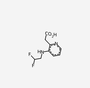 O=C(O)Cc1ncccc1NCC(F)F